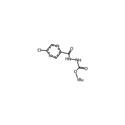 CC(C)(C)OC(=O)NNC(=O)c1cnc(Cl)cn1